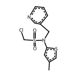 Cc1csc(N(Cc2cccnc2)S(=O)(=O)CCl)c1